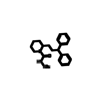 CCCCNC(=O)N1CCCCC1CCC(c1ccccc1)c1ccccc1